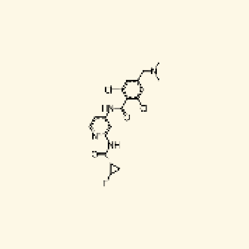 CN(C)Cc1cc(Cl)c(C(=O)Nc2ccnc(NC(=O)[C@@H]3C[C@H]3F)c2)c(Cl)c1